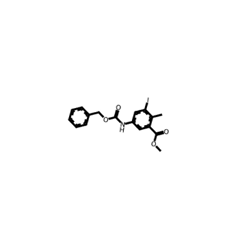 COC(=O)c1cc(NC(=O)OCc2ccccc2)cc(I)c1C